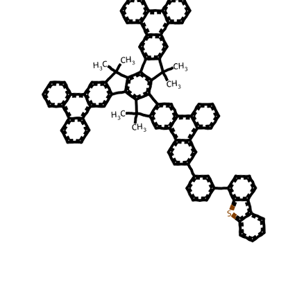 CC1(C)c2cc3c4ccccc4c4ccccc4c3cc2-c2c1c1c(c3c2C(C)(C)c2cc4c5ccc(-c6cccc(-c7cccc8c7sc7ccccc78)c6)cc5c5ccccc5c4cc2-3)C(C)(C)c2cc3c4ccccc4c4ccccc4c3cc2-1